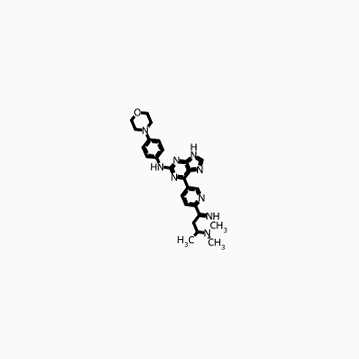 CC(CC(=N)c1ccc(-c2nc(Nc3ccc(N4CCOCC4)cc3)nc3[nH]cnc23)cn1)N(C)C